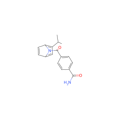 CC(C)c1cc2ccc1n2C(=O)c1ccc(C(N)=O)cc1